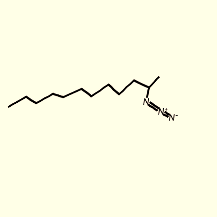 CCCCCCCCCCC(C)N=[N+]=[N-]